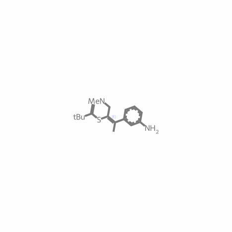 C=C(S/C(CNC)=C(\C)c1cccc(N)c1)C(C)(C)C